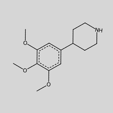 COc1cc(C2CCNCC2)cc(OC)c1OC